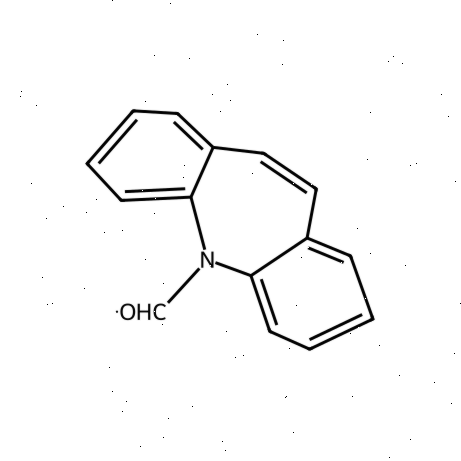 O=[C]N1c2ccccc2C=Cc2ccccc21